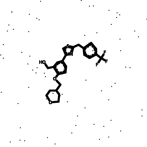 OCc1cc(-c2csc(Cc3ccc(C(F)(F)F)cc3)n2)ccc1OCC1CCOCC1